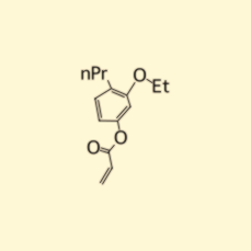 C=CC(=O)Oc1ccc(CCC)c(OCC)c1